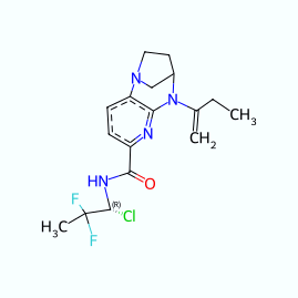 C=C(CC)N1c2nc(C(=O)N[C@H](Cl)C(C)(F)F)ccc2N2CCC1C2